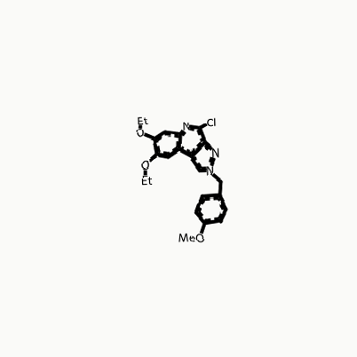 CCOc1cc2nc(Cl)c3nn(Cc4ccc(OC)cc4)cc3c2cc1OCC